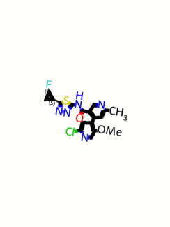 COc1cnc(Cl)cc1-c1cc(C)ncc1C(=O)Nc1nnc([C@H]2C[C@H]2F)s1